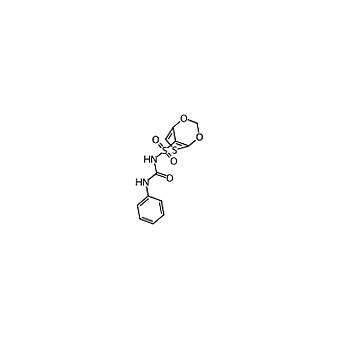 O=C(Nc1ccccc1)NS(=O)(=O)c1c2csc1OCO2